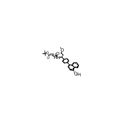 COCC[C@H](NC(=O)CNC(=O)OC(C)(C)C)c1ccc(-c2ccc(O)c3ccccc23)cc1